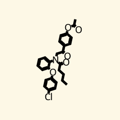 CCCCC(=O)N(CC(=O)c1ccc(OC(C)=O)cc1)c1ccccc1Oc1ccc(Cl)cc1